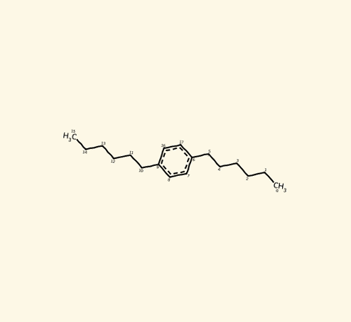 CCCCC[CH]c1ccc(CCCCCC)cc1